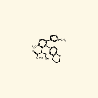 COC(=O)C(OC(C)(C)C)c1c(C(F)(F)F)ccc(-c2ccn(C)c2)c1-c1ccc2c(c1)CCCO2